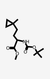 COC(=O)C(CCC1(C)CC1)NC(=O)OC(C)(C)C